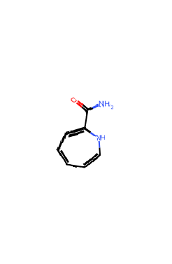 NC(=O)C1=CC=CC=CN1